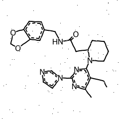 CCc1c(C)nc(-n2ccnc2)nc1N1CCCCC1CC(=O)NCc1ccc2c(c1)OCO2